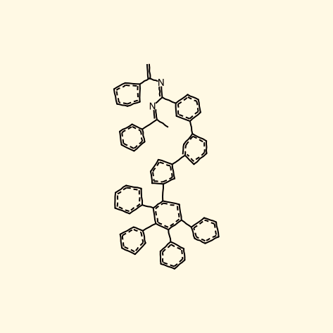 C=C(/N=C(\N=C(/C)c1ccccc1)c1cccc(-c2cccc(-c3cccc(-c4cc(-c5ccccc5)c(-c5ccccc5)c(-c5ccccc5)c4-c4ccccc4)c3)c2)c1)c1ccccc1